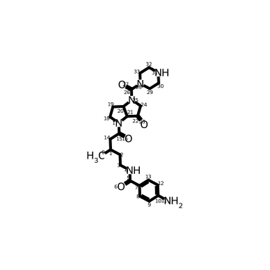 CC(CCNC(=O)c1ccc(N)cc1)CC(=O)N1CCC2C1C(=O)CN2C(=O)N1CCNCC1